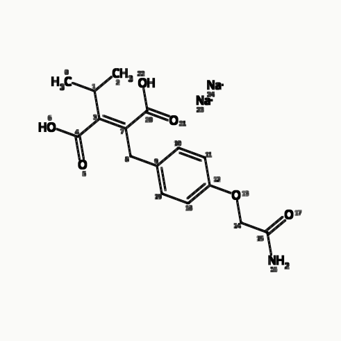 CC(C)C(C(=O)O)=C(Cc1ccc(OCC(N)=O)cc1)C(=O)O.[Na].[Na]